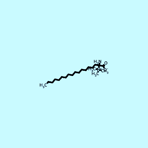 CCCCCCCCCCCCCCCCC(N)(C(=O)[O-])[N+](C)(C)C